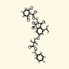 CC(C)c1cc(OCC(C)(C)C(=O)OCc2ccccc2)cc2c1C(=O)N(COC(=O)c1c(Cl)cccc1Cl)S2(=O)=O